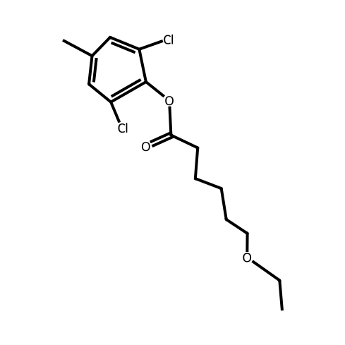 CCOCCCCCC(=O)Oc1c(Cl)cc(C)cc1Cl